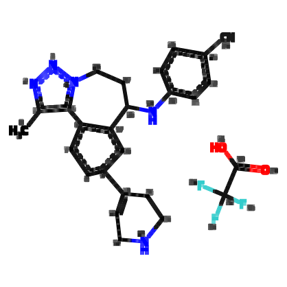 Cc1nnn2c1-c1ccc(C3=CCNCC3)cc1C(Nc1ccc(C#N)cc1)CC2.O=C(O)C(F)(F)F